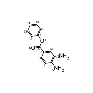 Nc1ccc(C(=O)Oc2ccccc2)cc1N